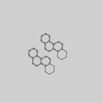 c1ccc2c(c1)ccc1c3c(ccc12)CCCC3.c1ccc2c(c1)ccc1c3c(ccc12)CCCC3